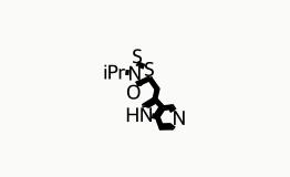 CC(C)N1C(=O)C(Cc2c[nH]c3ccncc23)SC1=S